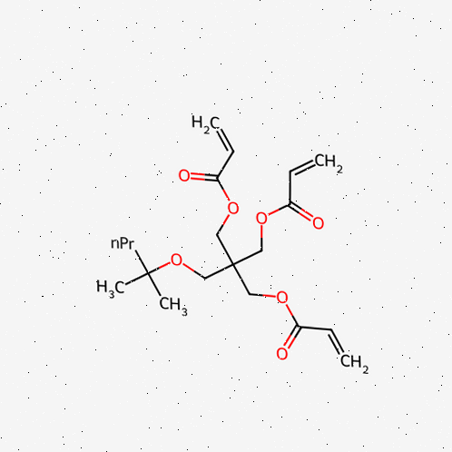 C=CC(=O)OCC(COC(=O)C=C)(COC(=O)C=C)COC(C)(C)CCC